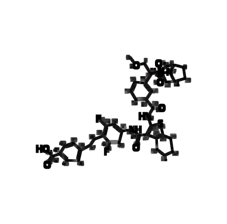 COCCS(=O)(=O)N1C2CCC1CN(Cc1cccc(C(=O)Nc3sc4c(c3C(=O)Nc3cc(F)c(CCc5ccc(C(=O)O)cc5)c(F)c3)CCCC4)c1)C2